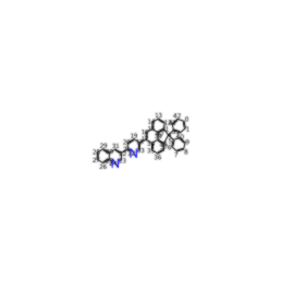 c1ccc(C2(c3ccccc3)c3cccc4cc(-c5ccc(-c6cnc7ccccc7c6)nc5)c5cccc2c5c34)cc1